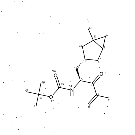 C=C(C)C(=O)[C@H](C[C@H]1CC2CC2(C)C1)NC(=O)OC(C)(C)C